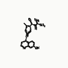 Cc1cn(-c2ccnc3cc(O)ccc23)cc1C(=O)NC(=N)N